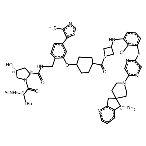 CC(=O)N[C@H](C(=O)N1C[C@H](O)C[C@H]1C(=O)NCc1ccc(-c2scnc2C)cc1OC1CCC(C(=O)N2CC(Nc3cccc(Sc4cnc(N5CCC6(CC5)Cc5ncccc5[C@H]6N)cn4)c3Cl)C2)CC1)C(C)(C)C